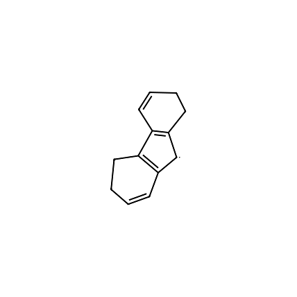 [CH]1C2=C(CCC=C2)C2=C1CCC=C2